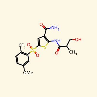 COc1ccc(C(F)(F)F)c(S(=O)(=O)c2cc(C(N)=O)c(NC(=O)C(C)CO)s2)c1